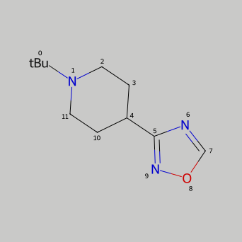 CC(C)(C)N1CCC(c2ncon2)CC1